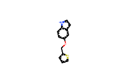 c1csc(COc2ccc3[nH]ccc3c2)c1